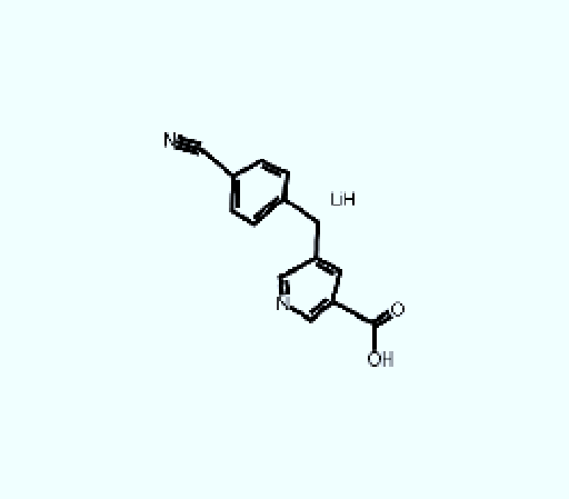 N#Cc1ccc(Cc2cncc(C(=O)O)c2)cc1.[LiH]